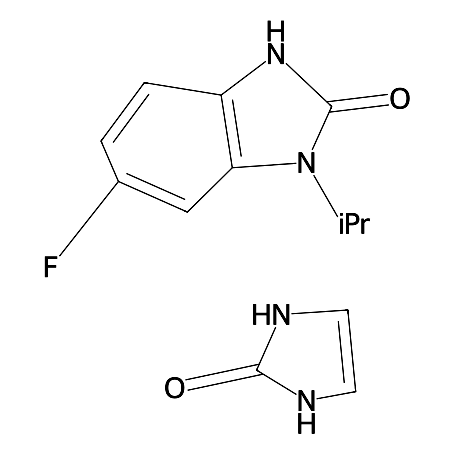 CC(C)n1c(=O)[nH]c2ccc(F)cc21.O=c1[nH]cc[nH]1